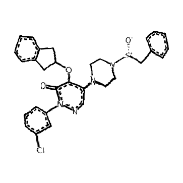 O=c1c(OC2Cc3ccccc3C2)c(N2CCN([S@+]([O-])Cc3ccccc3)CC2)cnn1-c1cccc(Cl)c1